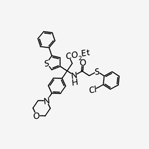 CCOC(=O)CC(NC(=O)CSc1ccccc1Cl)(c1ccc(N2CCOCC2)cc1)c1csc(-c2ccccc2)c1